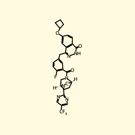 O=C(c1cc(Cc2n[nH]c(=O)c3ccc(OC4CCC4)cc23)ccc1F)N1C[C@@H]2CC[C@H]1CN2c1ncc(C(F)(F)F)cn1